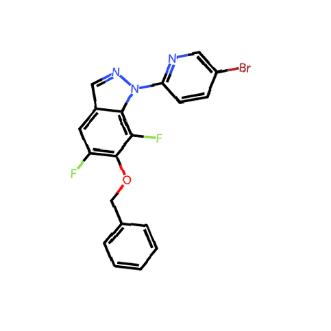 Fc1cc2cnn(-c3ccc(Br)cn3)c2c(F)c1OCc1ccccc1